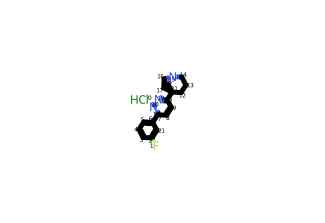 Cl.Fc1cccc(-c2ccc(C34CCCN(CC3)C4)nn2)c1